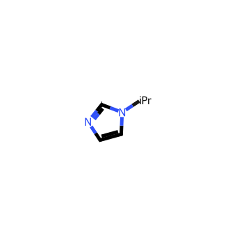 CC(C)n1[c]ncc1